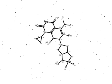 CC1c2c(c(=O)[nH]c(=O)n2C2CC2)C(C(F)F)=C(F)C1N1CC2CC(F)(F)C(O)C2C1